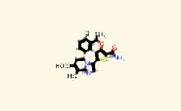 Cc1c(C(=O)O)ccn2c(-c3cc(OC(C)c4ccccc4Cl)c(C(N)=O)s3)cnc12